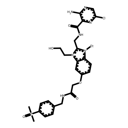 CC[n+]1c(CNC(=O)c2nc(Cl)cnc2N)n(CCO)c2cc(OCC(=O)NCc3ccc(P(C)(C)=O)cc3)ccc21